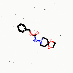 O=C(NN1CCC2(CC1)OCCO2)OCc1ccccc1